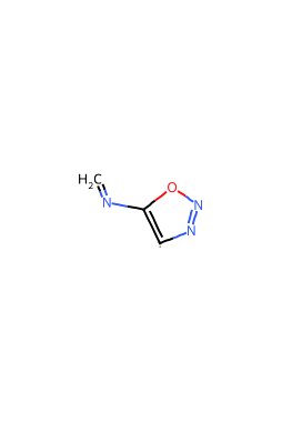 C=Nc1[c]nno1